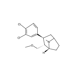 COC[C@@H]1[C@@H](c2ccc(Cl)c(Cl)c2)CC2CC[C@H]1N2C